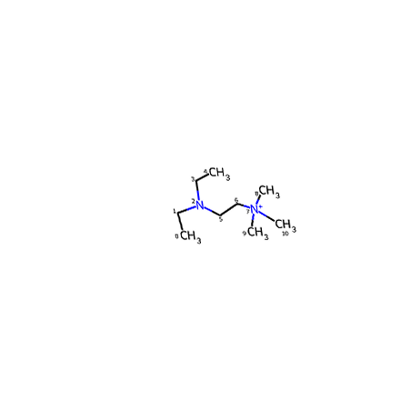 CCN(CC)CC[N+](C)(C)C